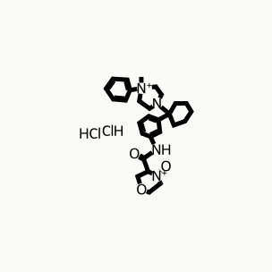 C[N+]1(c2ccccc2)CCN(C2(c3cccc(NC(=O)C4COCC[N+]4=O)c3)CCCCC2)CC1.Cl.Cl